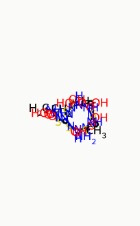 C=C(NC(=O)C(=C)NC(=O)c1csc(-c2ccc3c(n2)-c2csc(n2)-c2csc(n2)C(C(C)C(O)CO)NC(=O)C(Cc2ccc(O)cc2)NC(=O)c2csc(n2)C(C(O)c2ccccc2)NC(=O)c2nc(sc2C)C(CC(N)=O)NC(O)c2csc-3n2)n1)C(=O)O